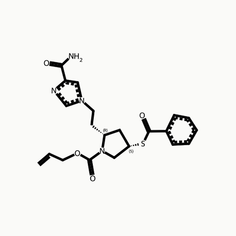 C=CCOC(=O)N1C[C@@H](SC(=O)c2ccccc2)C[C@H]1CCn1cnc(C(N)=O)c1